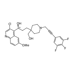 COc1ccc2ncc(Cl)c([C@@H](O)CCC3(CO)CCN(CC#Cc4cc(F)c(F)c(F)c4)CC3)c2c1